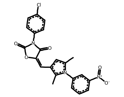 Cc1cc(/C=C2/OC(=O)N(c3ccc(Cl)cc3)C2=O)c(C)n1-c1cccc([N+](=O)[O-])c1